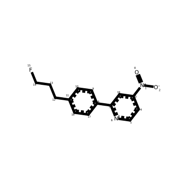 O=[N+]([O-])c1ccnc(-c2ccc(CCCF)cc2)c1